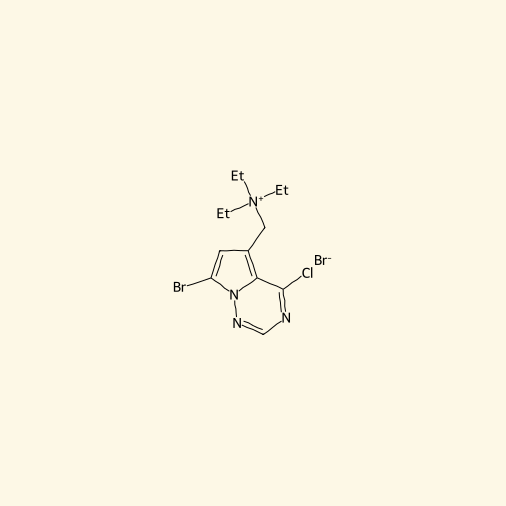 CC[N+](CC)(CC)Cc1cc(Br)n2ncnc(Cl)c12.[Br-]